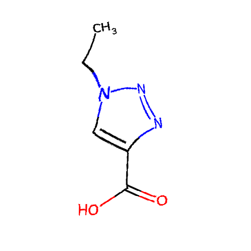 CCn1cc(C(=O)O)nn1